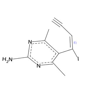 C#C/C=C(/I)c1c(C)nc(N)nc1C